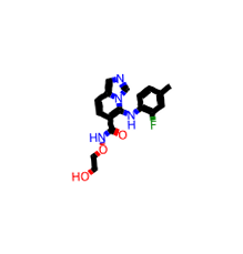 Cc1ccc(Nc2c(C(=O)NOCCO)ccc3cncn23)c(F)c1